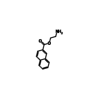 NCCOC(=O)c1ccc2ccccc2c1